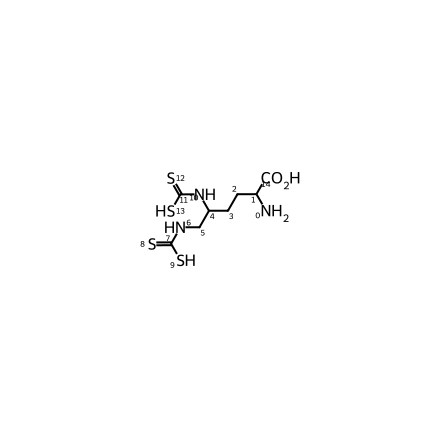 NC(CCC(CNC(=S)S)NC(=S)S)C(=O)O